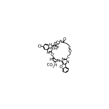 O=C(O)[C@@H]1C[C@H]2CN1c1nc(nc3c1oc1ccccc13)CCOCCCC(=O)N1CC[C@@H]([C@@H](F)C1)n1c(nc3cc(Cl)ccc31)O2